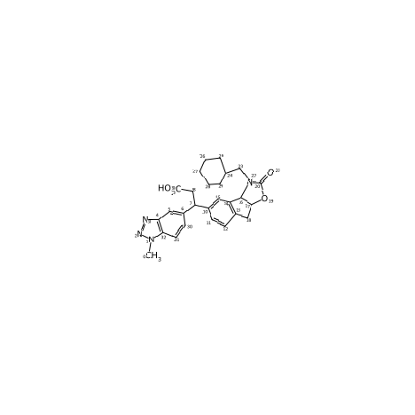 Cn1nnc2cc(C(CC(=O)O)c3ccc4c(c3)C3C(C4)OC(=O)N3CC3CCCCC3)ccc21